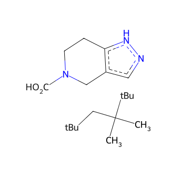 CC(C)(C)CC(C)(C)C(C)(C)C.O=C(O)N1CCc2[nH]ncc2C1